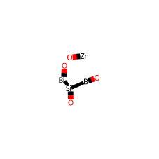 O=B[Si](=O)[Bi]=[O].[O]=[Zn]